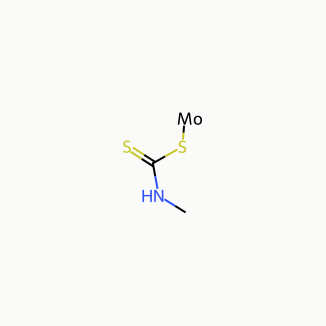 CNC(=S)[S][Mo]